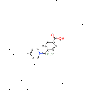 Cl.O=C(O)c1ccc(CN2CC=CCC2)cc1